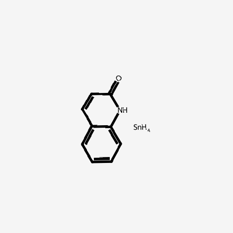 O=c1ccc2ccccc2[nH]1.[SnH4]